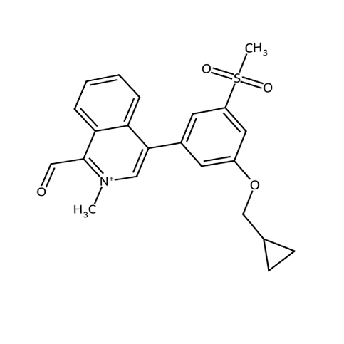 C[n+]1cc(-c2cc(OCC3CC3)cc(S(C)(=O)=O)c2)c2ccccc2c1C=O